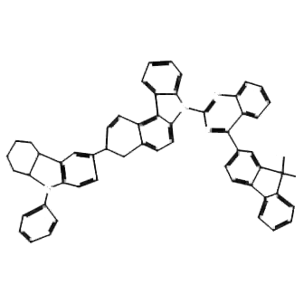 CC1(C)c2ccccc2-c2ccc(-c3nc(-n4c5ccccc5c5c6c(ccc54)CC(c4ccc5c(c4)C4CCCCC4N5c4ccccc4)C=C6)nc4ccccc34)cc21